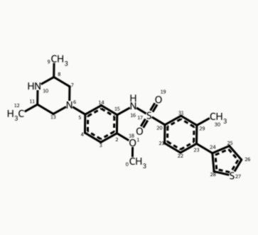 COc1ccc(N2CC(C)NC(C)C2)cc1NS(=O)(=O)c1ccc(-c2ccsc2)c(C)c1